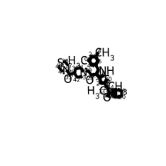 Cc1cc(C)cc(-c2[nH]c3sc(C(C)(C)C(=O)N4C5CCC4CC5)cc3c2C(=O)CN2CCC(C(=O)N3CCSCC3)CC2)c1